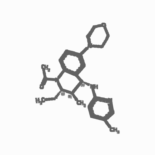 CC[C@H]1[C@H](C)[C@@H](Nc2ccc(C)cn2)c2cc(N3CCOCC3)ccc2N1C(C)=O